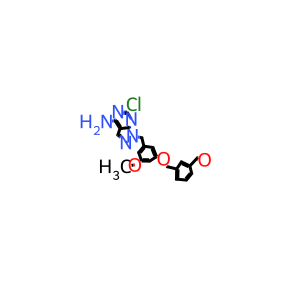 COc1cc(Cn2ncc3c(N)nc(Cl)nc32)cc(OCc2cccc(C=O)c2)c1